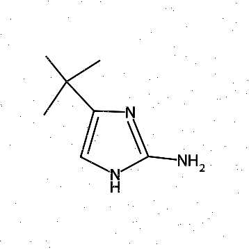 CC(C)(C)c1c[nH]c(N)n1